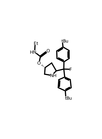 CCNC(=O)O[C@H]1CNC(C(F)(c2ccc(C(C)(C)C)cc2)c2ccc(C(C)(C)C)cc2)C1